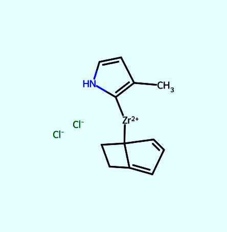 Cc1cc[nH][c]1[Zr+2][C]12C=CC=C1CC2.[Cl-].[Cl-]